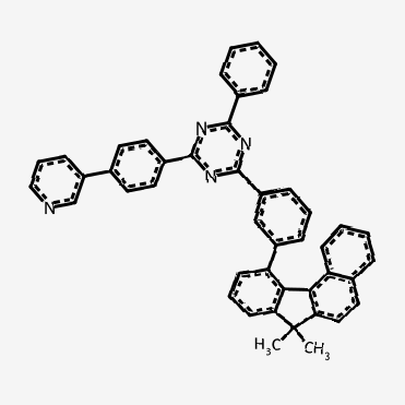 CC1(C)c2cccc(-c3cccc(-c4nc(-c5ccccc5)nc(-c5ccc(-c6cccnc6)cc5)n4)c3)c2-c2c1ccc1ccccc21